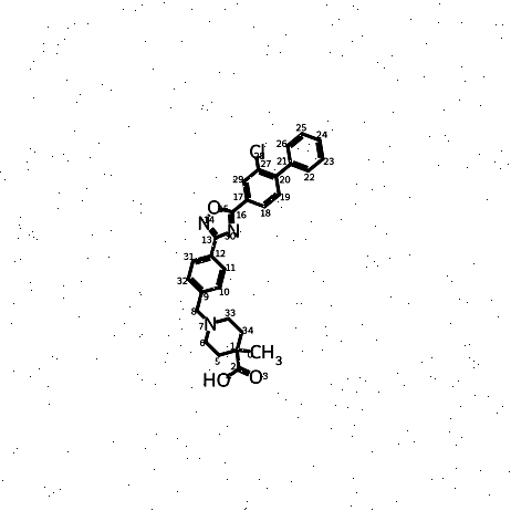 CC1(C(=O)O)CCN(Cc2ccc(-c3noc(-c4ccc(-c5ccccc5)c(Cl)c4)n3)cc2)CC1